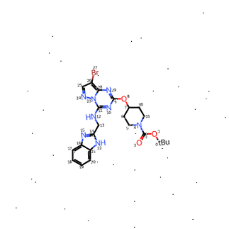 CC(C)(C)OC(=O)N1CCC(Oc2nc(NCc3nc4ccccc4[nH]3)n3ncc(Br)c3n2)CC1